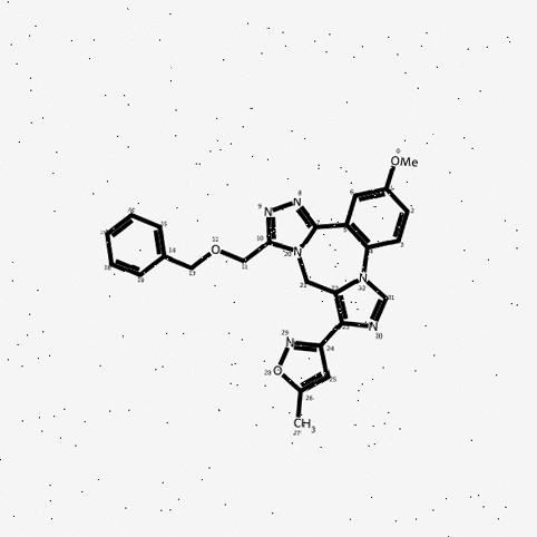 COc1ccc2c(c1)-c1nnc(COCc3ccccc3)n1Cc1c(-c3cc(C)on3)ncn1-2